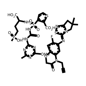 C#CCN1C(=O)COc2cc(F)c(/N=c3\snc4n3CC(C)(C)C4)cc21.COc1nc(C)nc(NC(=O)NS(=O)(=O)c2ccsc2C(=O)O)n1.CP(=O)(O)CCC(N)C(=O)O